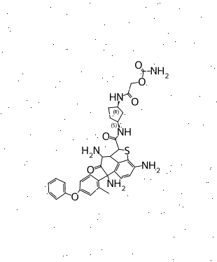 Cc1cc(Oc2ccccc2)ccc1C1(N)C(=O)C(N)C2c3c1ccc(N)c3SC2C(=O)N[C@H]1CC[C@@H](NC(=O)COC(N)=O)C1